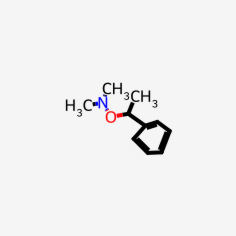 CC(ON(C)C)c1ccccc1